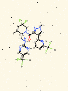 CC1CC(F)(F)CN(C(=O)c2nn(C)cc2-c2cccc(C(F)(F)F)n2)[C@@H]1CNc1ncc(C(F)(F)F)cn1